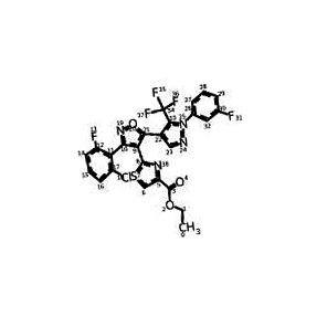 CCOC(=O)c1csc(-c2c(-c3c(F)cccc3Cl)noc2-c2cnn(-c3cccc(F)c3)c2C(F)(F)F)n1